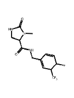 CN1C(=O)NCC1C(=O)NCC1=CC(C(F)(F)F)C(F)C=C1